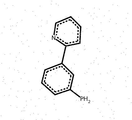 Pc1cccc(-c2ccccn2)c1